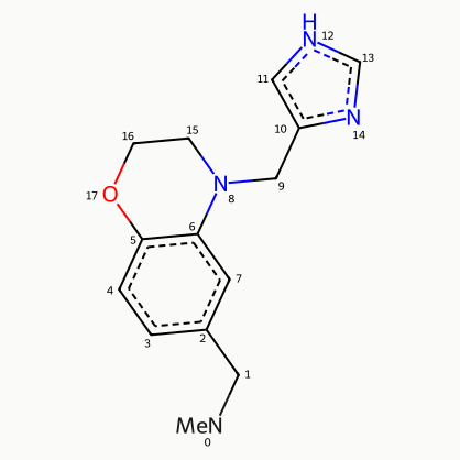 CNCc1ccc2c(c1)N(Cc1c[nH]cn1)CCO2